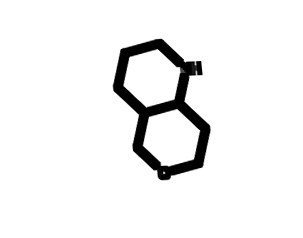 C1CNC2CCOCC2C1